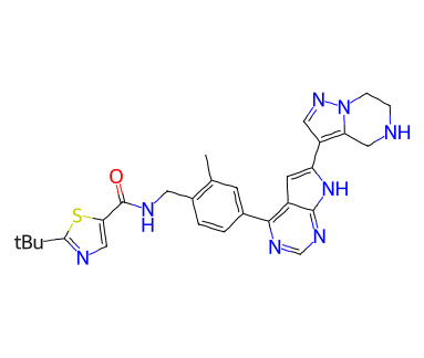 Cc1cc(-c2ncnc3[nH]c(-c4cnn5c4CNCC5)cc23)ccc1CNC(=O)c1cnc(C(C)(C)C)s1